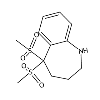 CS(=O)(=O)C1(S(C)(=O)=O)CCCNc2ccccc21